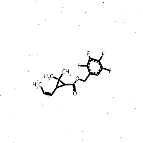 C/C=C\C1C(C(=O)OCc2cc(F)c(F)c(F)c2F)C1(C)C